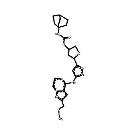 COCc1cc2c(Nc3cc(C4CC(OC(=O)NC56CCC(CC5)CC6)CO4)[nH]n3)nccn2n1